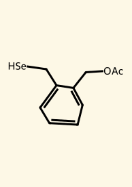 CC(=O)OCc1ccccc1C[SeH]